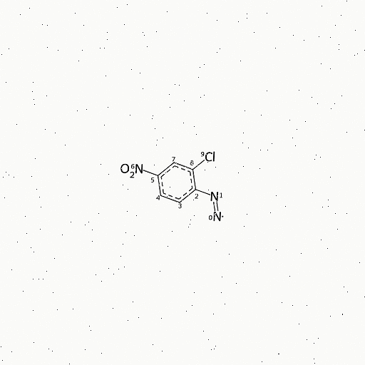 [N]=Nc1ccc([N+](=O)[O-])cc1Cl